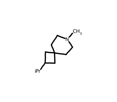 CC(C)C1CC2(CCN(C)CC2)C1